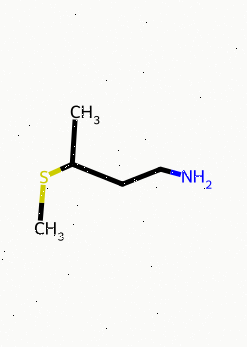 CSC(C)CCN